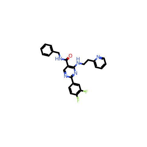 O=C(NCc1ccccc1)c1cnc(-c2ccc(F)c(F)c2)nc1NCCc1ccccn1